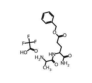 CC(N)C(=O)NC(CCC(=O)OCc1ccccc1)C(N)=O.O=C(O)C(F)(F)F